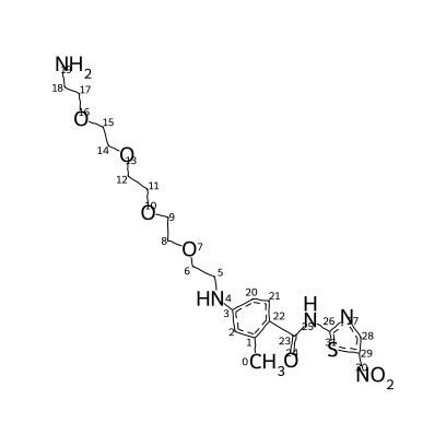 Cc1cc(NCCOCCOCCOCCOCCN)ccc1C(=O)Nc1ncc([N+](=O)[O-])s1